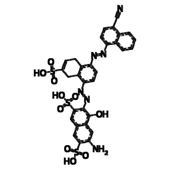 N#Cc1ccc(N=Nc2ccc(N=Nc3c(S(=O)(=O)O)cc4cc(S(=O)(=O)O)c(N)cc4c3O)c3c2CC=C(S(=O)(=O)O)C3)c2ccccc12